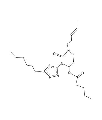 C/C=C/CCN1CCC(OC(=O)CCCC)N(c2nnc(CCCCCC)s2)C1=O